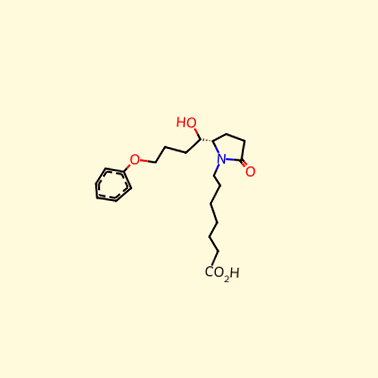 O=C(O)CCCCCCN1C(=O)CC[C@H]1C(O)CCCOc1ccccc1